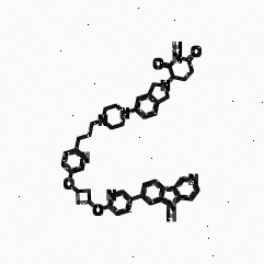 O=C1CCC(N2Cc3ccc(N4CCN(CCCc5ccc(OC6CC(Oc7ccc(-c8ccc9c(c8)[nH]c8ccncc89)cn7)C6)cn5)CC4)cc3C2)C(=O)N1